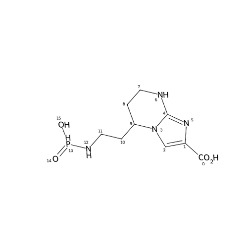 O=C(O)c1cn2c(n1)NCCC2CCN[PH](=O)O